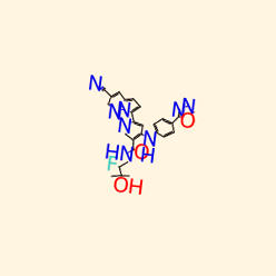 CC(C)(O)[C@H](F)CNC(=O)c1cnc(-c2ccc3cc(C#N)cnn23)cc1Nc1ccc(-c2nnco2)cc1